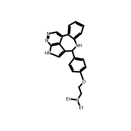 CCN(CC)CCOc1ccc(C2Nc3ccccc3-c3cnnc4[nH]cc2c34)cc1